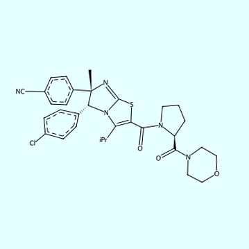 CC(C)C1=C(C(=O)N2CCC[C@H]2C(=O)N2CCOCC2)SC2=N[C@@](C)(c3ccc(C#N)cc3)[C@@H](c3ccc(Cl)cc3)N21